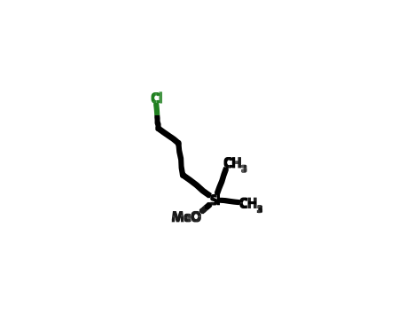 CO[Si](C)(C)CCCCl